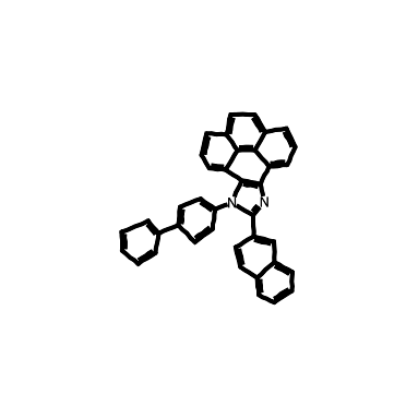 c1ccc(-c2ccc(-n3c(-c4ccc5ccccc5c4)nc4c5cccc6ccc7cccc(c7c65)c43)cc2)cc1